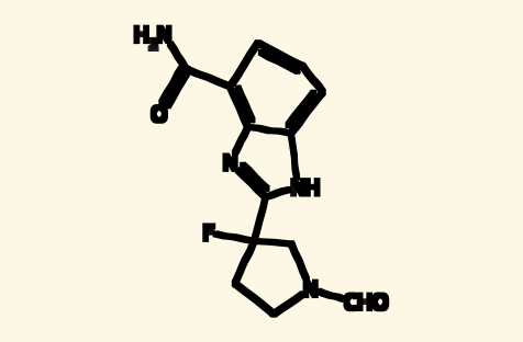 NC(=O)c1cccc2[nH]c(C3(F)CCN(C=O)C3)nc12